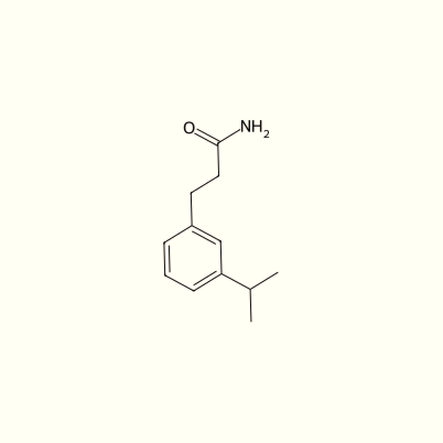 CC(C)c1cccc(CCC(N)=O)c1